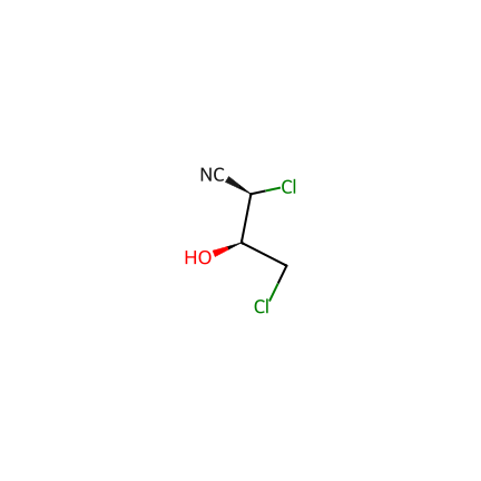 N#C[C@@H](Cl)[C@H](O)CCl